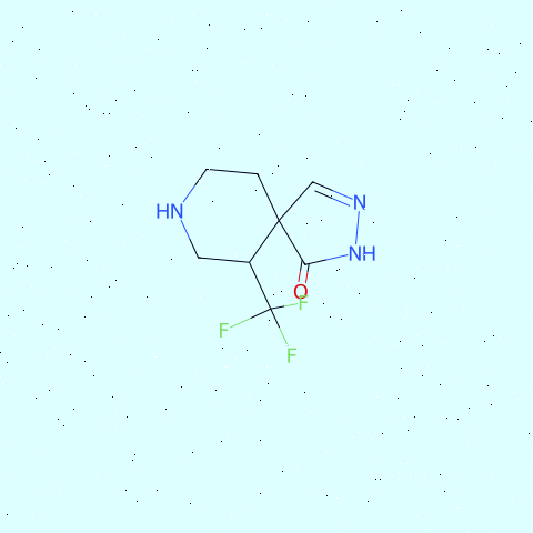 O=C1NN=CC12CCNCC2C(F)(F)F